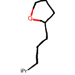 CC(C)CCCC1CCCO1